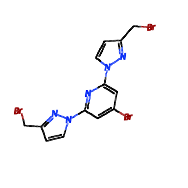 BrCc1ccn(-c2cc(Br)cc(-n3ccc(CBr)n3)n2)n1